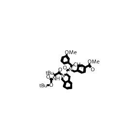 COC(=O)c1ccc(CN(C(=O)[C@@H]2Cc3ccccc3CN2C(=O)[C@@H](NC(=O)OC(C)(C)C)C(C)(C)C)[C@H](C)c2cccc(OC)c2)cc1